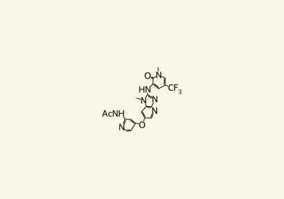 CC(=O)Nc1cc(Oc2cnc3nc(Nc4cc(C(F)(F)F)cn(C)c4=O)n(C)c3c2)ccn1